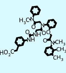 Cc1cccc(N(C)C(=O)COc2ccccc2N(CC(=O)N(C)c2ccccc2)C(=O)CNC(=O)Nc2cccc(CC(=O)O)c2)c1C